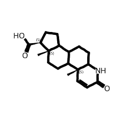 C[C@]12C=CC(=O)NC1CCC1C2CC[C@@]2(C)C1CC[C@@H]2C(=O)O